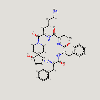 CC(C)C[C@@H](NC(=O)[C@@H](Cc1ccccc1)NC(=O)[C@H](N)Cc1ccccc1)C(=O)N[C@H](CCCCN)C(=O)N1CCC2(CCCC2=O)CC1